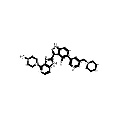 CN1CCN(c2nccc3[nH]c(-c4n[nH]c5ccc(-c6cncc(CN7CCCCC7)c6)c(F)c45)nc23)CC1